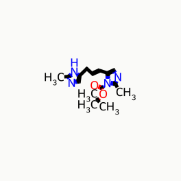 Cc1ncc(CC=Cc2cnc(C)n2C(=O)OC(C)(C)C)[nH]1